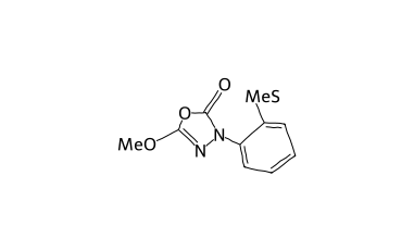 COc1nn(-c2ccccc2SC)c(=O)o1